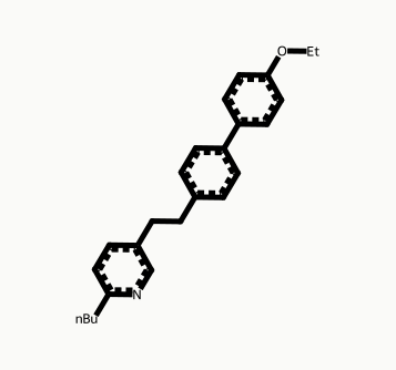 CCCCc1ccc(CCc2ccc(-c3ccc(OCC)cc3)cc2)cn1